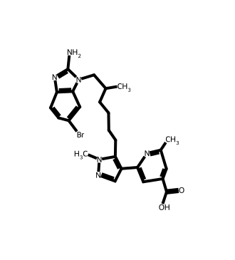 Cc1cc(C(=O)O)cc(-c2cnn(C)c2CCCCC(C)Cn2c(N)nc3ccc(Br)cc32)n1